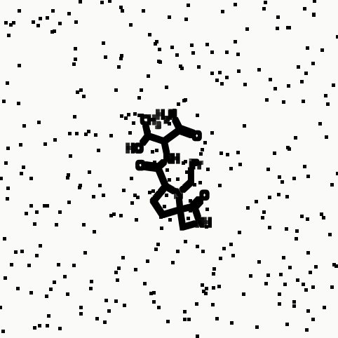 CC(C)CN1C(C(=O)NC(C(N)=O)C(C)O)CCC12CNC2=O